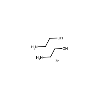 NCCO.NCCO.[Zr]